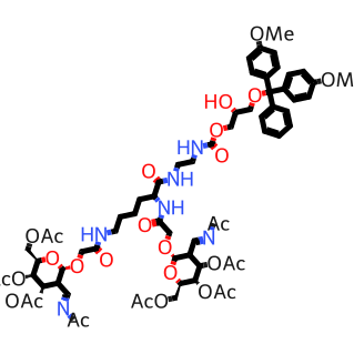 COc1ccc(C(OCC(O)COC(=O)NCCNC(=O)C(CCCCNC(=O)CO[C@@H]2O[C@H](COC(C)=O)[C@H](OC(C)=O)[C@H](OC(C)=O)C2/C=N/C(C)=O)NC(=O)CO[C@@H]2O[C@H](COC(C)=O)[C@H](OC(C)=O)C(OC(C)=O)C2/C=N/C(C)=O)(c2ccccc2)c2ccc(OC)cc2)cc1